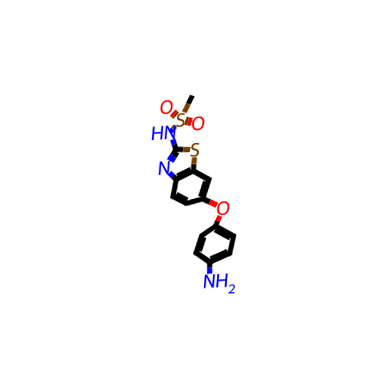 CS(=O)(=O)Nc1nc2ccc(Oc3ccc(N)cc3)cc2s1